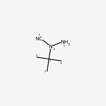 CC(C)(C)N(N)C#N